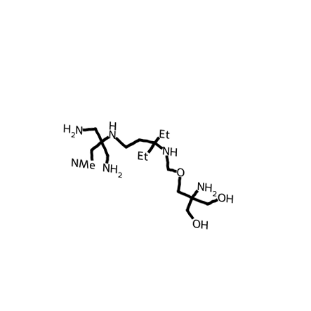 CCC(CC)(CCNC(CN)(CN)CNC)NCOCC(N)(CO)CO